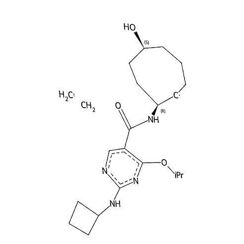 CC(C)Oc1nc(NC2CCC2)ncc1C(=O)N[C@@H]1[CH]CCC[C@H](O)CC1.[CH2].[CH2]